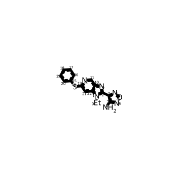 CCn1c(-c2nonc2N)nc2cnc(Sc3ccccc3)cc21